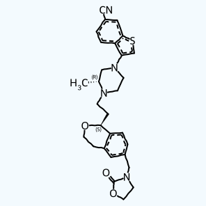 C[C@@H]1CN(c2csc3cc(C#N)ccc23)CCN1CC[C@@H]1OCCc2cc(CN3CCOC3=O)ccc21